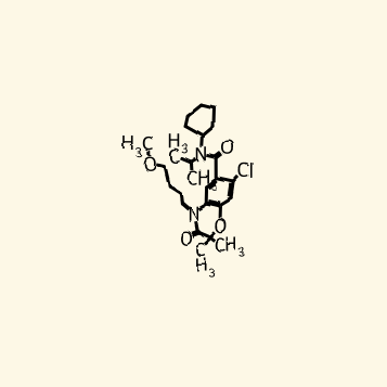 COCCCCN1C(=O)C(C)(C)Oc2cc(Cl)c(C(=O)N(C(C)C)C3CCCCC3)cc21